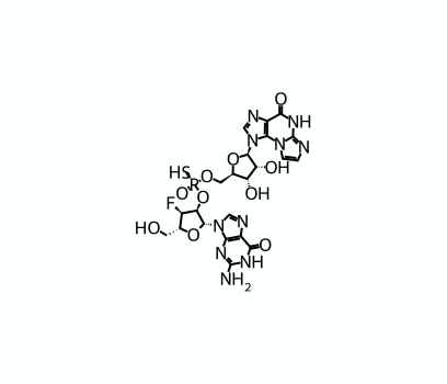 Nc1nc2c(ncn2[C@@H]2O[C@H](CO)[C@@H](F)[C@H]2OP(=O)(S)OC[C@H]2O[C@@H](n3cnc4c(=O)[nH]c5nccn5c43)[C@H](O)[C@@H]2O)c(=O)[nH]1